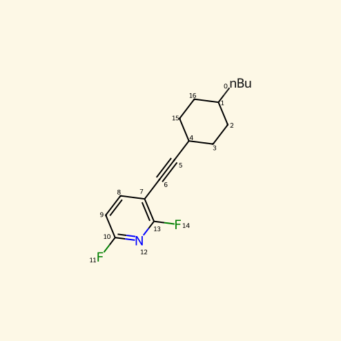 CCCCC1CCC(C#Cc2ccc(F)nc2F)CC1